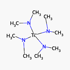 C[N](C)[Ti+]([N](C)C)([N](C)C)[N](C)C